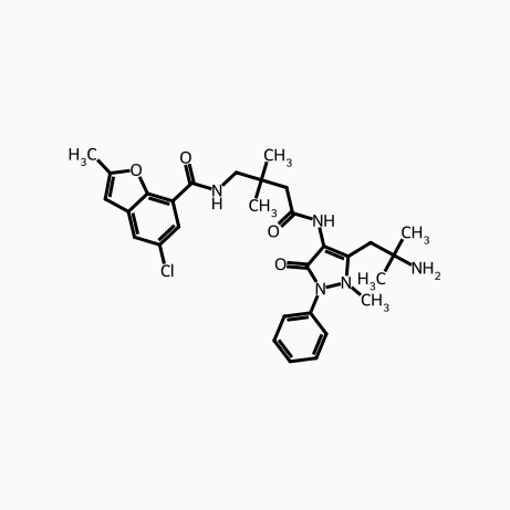 Cc1cc2cc(Cl)cc(C(=O)NCC(C)(C)CC(=O)Nc3c(CC(C)(C)N)n(C)n(-c4ccccc4)c3=O)c2o1